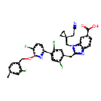 Cc1ccc(COc2nc(-c3cc(F)c(Cc4nc5ccc(C(=O)O)cc5n4CC4(CC#N)CC4)cc3F)ccc2F)c(F)c1